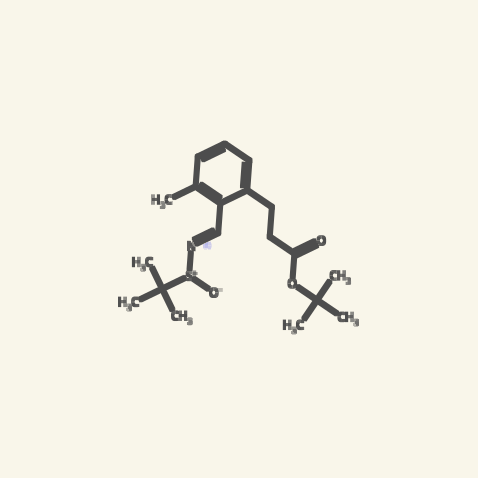 Cc1cccc(CCC(=O)OC(C)(C)C)c1/C=N/[S+]([O-])C(C)(C)C